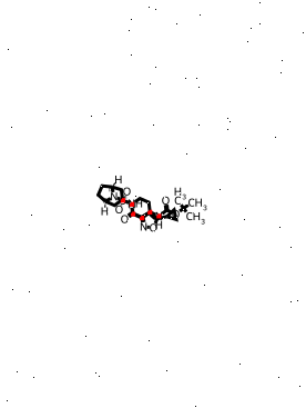 CC(C)(C)OC(=O)NC1CCN(S(=O)(=O)N2[C@@H]3CC[C@H]2C[C@@H](NC(=O)c2cc(C4CC4)on2)C3)CC1